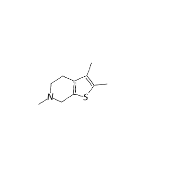 Cc1sc2c(c1C)CCN(C)C2